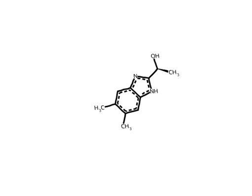 Cc1cc2nc([C@H](C)O)[nH]c2cc1C